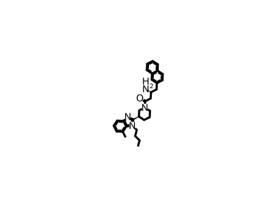 CCCCn1c([C@@H]2CCCN(C(=O)C[C@H](N)Cc3ccc4ccccc4c3)C2)nc2cccc(C)c21